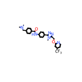 CN(C)Cc1ccc(C(=O)Nc2ccc(-c3nnc(COc4cc(C(F)(F)F)ccn4)n3C)cc2)cc1